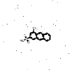 Cc1cc(S(=O)(=O)O)cc2cc3ccccc3cc12